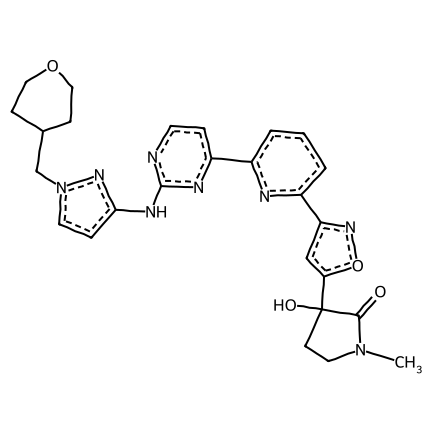 CN1CCC(O)(c2cc(-c3cccc(-c4ccnc(Nc5ccn(CC6CCOCC6)n5)n4)n3)no2)C1=O